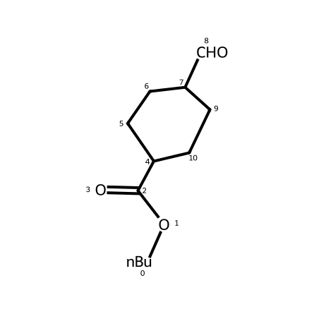 CCCCOC(=O)C1CCC(C=O)CC1